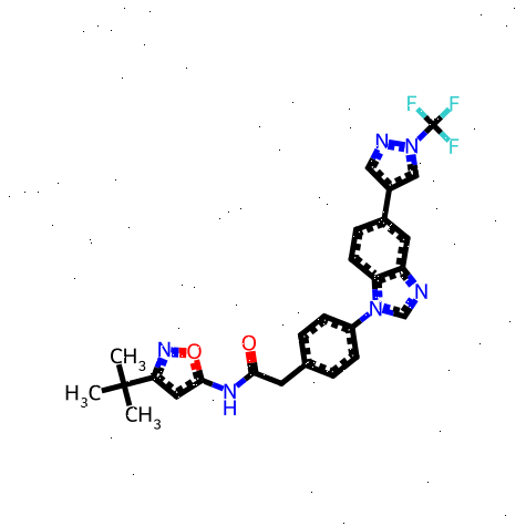 CC(C)(C)c1cc(NC(=O)Cc2ccc(-n3cnc4cc(-c5cnn(C(F)(F)F)c5)ccc43)cc2)on1